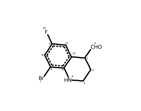 O=CC1CCNc2c(Br)cc(F)cc21